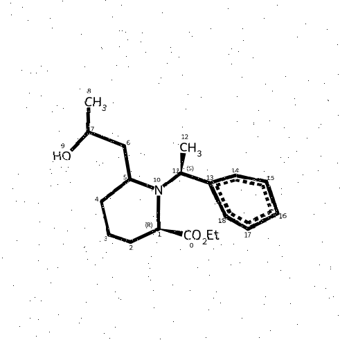 CCOC(=O)[C@H]1CCCC(CC(C)O)N1[C@@H](C)c1ccccc1